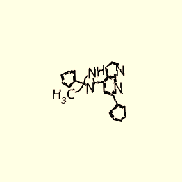 CCC1(c2ccccc2)CNC(c2cc(-c3ccccc3)nc3ncccc23)=N1